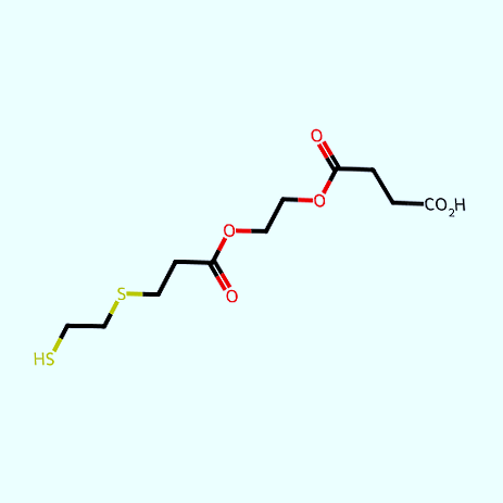 O=C(O)CCC(=O)OCCOC(=O)CCSCCS